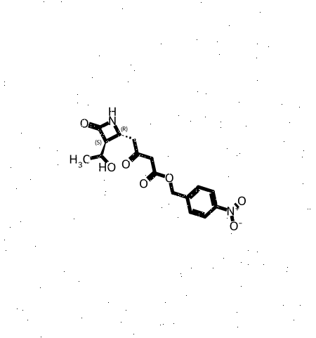 CC(O)[C@H]1C(=O)N[C@@H]1CC(=O)CC(=O)OCc1ccc([N+](=O)[O-])cc1